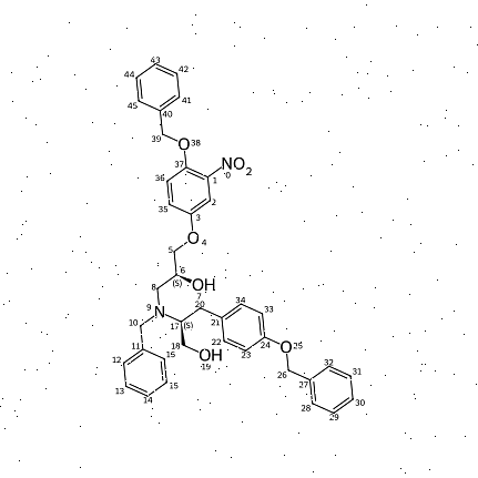 O=[N+]([O-])c1cc(OC[C@@H](O)CN(Cc2ccccc2)[C@H](CO)Cc2ccc(OCc3ccccc3)cc2)ccc1OCc1ccccc1